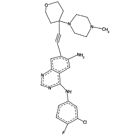 CN1CCN(C2(C#Cc3cc4ncnc(Nc5ccc(F)c(Cl)c5)c4cc3N)CCOCC2)CC1